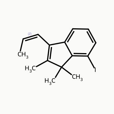 C/C=C\C1=C(C)C(C)(C)c2c(I)cccc21